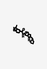 Cc1noc2ccc(C(=O)Nc3cc4[nH]c(CN5CCC[C@@H]5C)cc4cn3)cc12